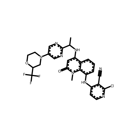 CC(Nc1cc(=O)n(C)c2c(Nc3ccnc(Cl)c3C#N)cccc12)c1ncc(N2CCOC(C(F)(F)F)C2)cn1